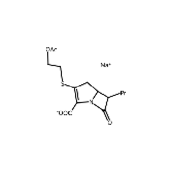 CC(=O)OCCSC1=C(C(=O)[O-])N2C(=O)C(C(C)C)C2C1.[Na+]